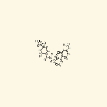 COc1ccc(C(=O)N2[C@H](C)CN(C(=O)c3ccc(S(C)(=O)=O)cc3F)C[C@H]2C)c(F)c1